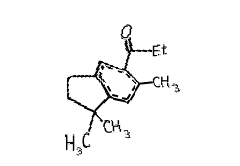 CCC(=O)c1cc2c(cc1C)C(C)(C)CC2